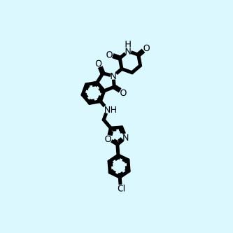 O=C1CCC(N2C(=O)c3cccc(NCc4cnc(-c5ccc(Cl)cc5)o4)c3C2=O)C(=O)N1